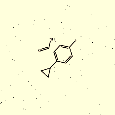 Fc1ccc(C2CC2)cc1.NC=O